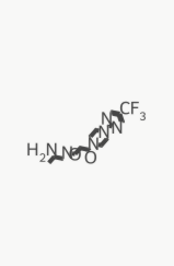 CC(N)C=NOCC(=O)N1CCN(c2ncc(C(F)(F)F)cn2)CC1